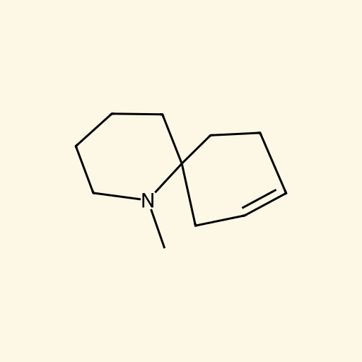 CN1CCCCC12CC=CCC2